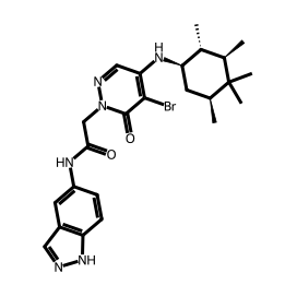 C[C@@H]1[C@@H](C)C(C)(C)[C@@H](C)C[C@H]1Nc1cnn(CC(=O)Nc2ccc3[nH]ncc3c2)c(=O)c1Br